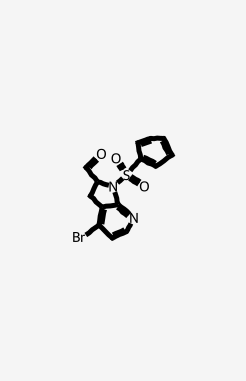 O=CC1Cc2c(Br)ccnc2N1S(=O)(=O)c1ccccc1